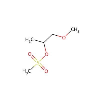 COCC(C)OS(C)(=O)=O